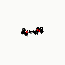 O=C(O)C(=NOCCSC=NNNC(c1ccccc1)(c1ccccc1)c1ccccc1)c1csc(NC(c2ccccc2)(c2ccccc2)c2ccccc2)n1